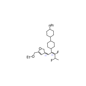 CCCC1CCC(C2CCC(C(/C=C3/C=C(COCC)OC3)=C(\F)C(C)F)CC2)CC1